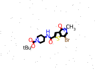 Cn1cc(Br)c2sc(C(=O)NC3CCN(C(=O)OC(C)(C)C)CC3)cc2c1=O